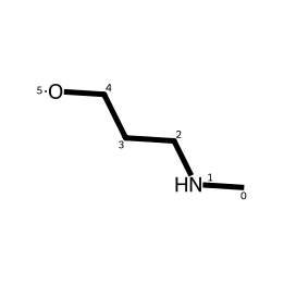 CNCCC[O]